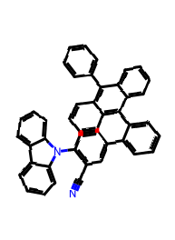 N#Cc1cc(-c2ccccc2-c2c3ccccc3c(-c3ccccc3)c3ccccc23)ccc1-n1c2ccccc2c2ccccc21